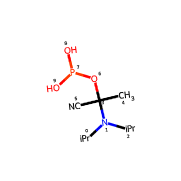 CC(C)N(C(C)C)C(C)(C#N)OP(O)O